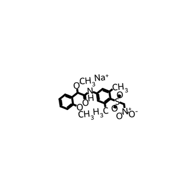 COc1ccccc1C(OC)C(=O)Nc1cc(C)c(S(=O)(=O)C[N+](=O)[O-])c(C)c1.[Na+]